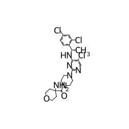 C[C@@H](Nc1nc(N2CCN(C(=O)C3(N)CCOCC3)CC2)ncc1Cl)c1ccc(Cl)cc1Cl